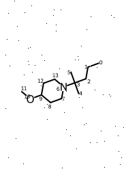 CCCC(C)(C)N1CCC(OC)CC1